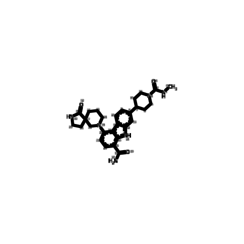 CNC(=O)N1CCC(c2ccc3c(c2)[nH]c2c(C(N)=O)ccc(N4CCCC5(CCNC5=O)C4)c23)CC1